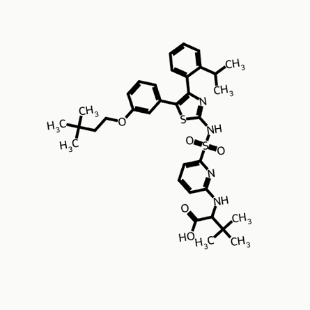 CC(C)c1ccccc1-c1nc(NS(=O)(=O)c2cccc(NC(C(=O)O)C(C)(C)C)n2)sc1-c1cccc(OCCC(C)(C)C)c1